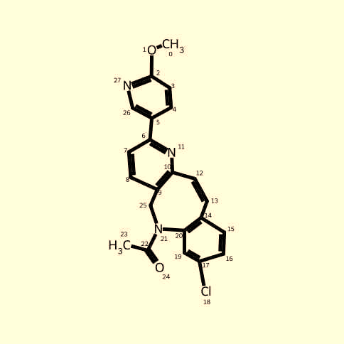 COc1ccc(-c2ccc3c(n2)C=Cc2ccc(Cl)cc2N(C(C)=O)C3)cn1